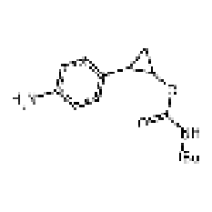 CC(C)(C)NC(=O)OC1CC1c1ccc(N)cc1